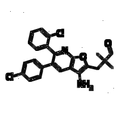 CC(C)(C=O)Cc1oc2nc(-c3ccccc3Cl)c(-c3ccc(Cl)cc3)cc2c1N